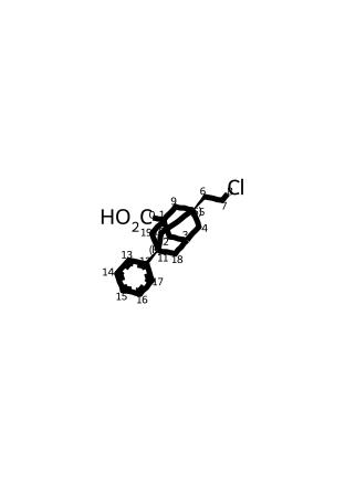 O=C(O)C12CC3C[C@@](CCCl)(C1)C[C@](c1ccccc1)(C3)C2